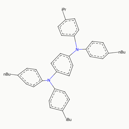 CCCCc1ccc(N(c2ccc(C(C)C)cc2)c2ccc(N(c3ccc(CCCC)cc3)c3ccc(C(C)CC)cc3)cc2)cc1